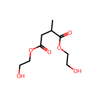 CC(CC(=O)OCCO)C(=O)OCCO